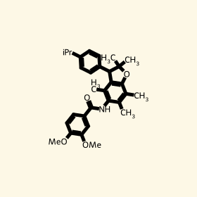 COc1ccc(C(=O)Nc2c(C)c(C)c3c(c2C)C(c2ccc(C(C)C)cc2)C(C)(C)O3)cc1OC